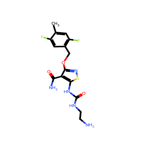 Cc1cc(F)c(COc2nsc(NC(=O)NCCN)c2C(N)=O)cc1F